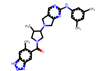 Cc1cc(C)cc(Nc2ncc3c(n2)CN(C2CN(C(=O)c4cc5nn[nH]c5cc4C)CC2C)C3)c1